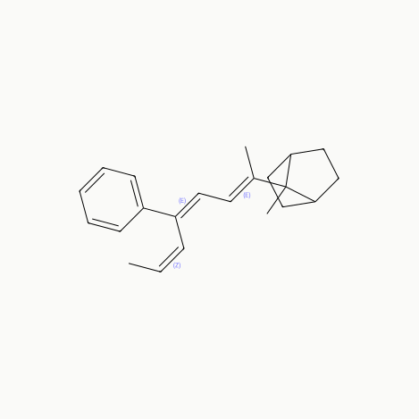 C\C=C/C(=C\C=C(/C)C1(C)C2CCC1CC2)c1ccccc1